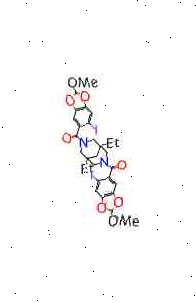 CCC12CN(C(=O)c3cc4c(cc3I)OC(OC)O4)CC(CC)(CN(C(=O)c3cc4c(cc3I)OC(OC)O4)C1)C2